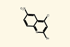 CC(C)c1cc(Cl)c2cc([N+](=O)[O-])ccc2n1